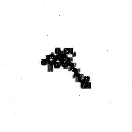 Cn1c(=O)n(C2CCC(=O)NC2=O)c2ccc(CCCCCCC(=O)O)cc21